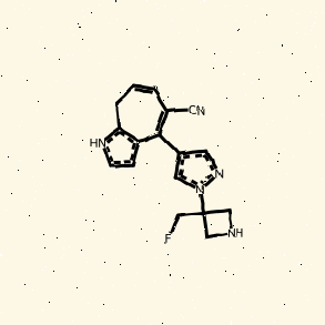 N#CC1=C(c2cnn(C3(CF)CNC3)c2)c2cc[nH]c2CC=C1